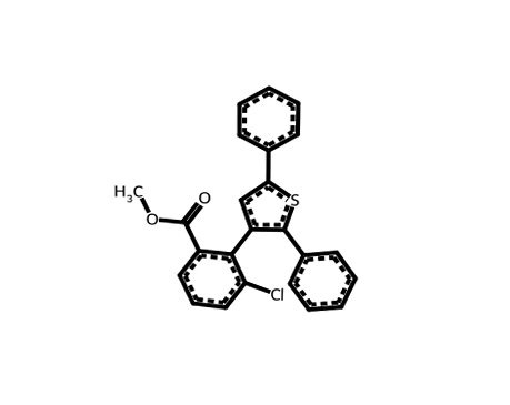 COC(=O)c1cccc(Cl)c1-c1cc(-c2ccccc2)sc1-c1ccccc1